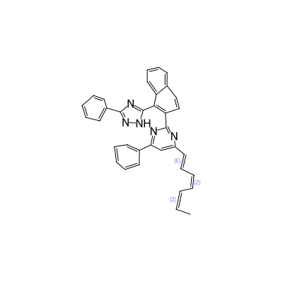 C\C=C/C=C\C=C\c1cc(-c2ccccc2)nc(-c2ccc3ccccc3c2-c2nc(-c3ccccc3)n[nH]2)n1